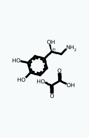 NC[C@H](O)c1ccc(O)c(O)c1.O=C(O)C(=O)O